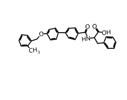 Cc1ccccc1COc1ccc(-c2ccc(C(=O)NC(Cc3ccccc3)C(=O)O)cc2)cc1